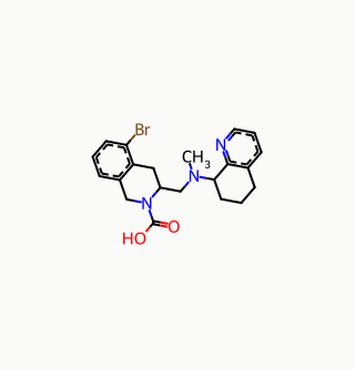 CN(CC1Cc2c(Br)cccc2CN1C(=O)O)C1CCCc2cccnc21